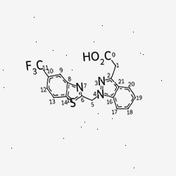 O=C(O)Cc1nn(Cc2nc3cc(C(F)(F)F)ccc3s2)c2ccccc12